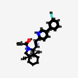 CC(C)(C)C(=O)N1C[C@@H]2CCCC[C@@H]2[C@@H]1/C=C/c1ccc(-c2cccc(F)c2)cn1